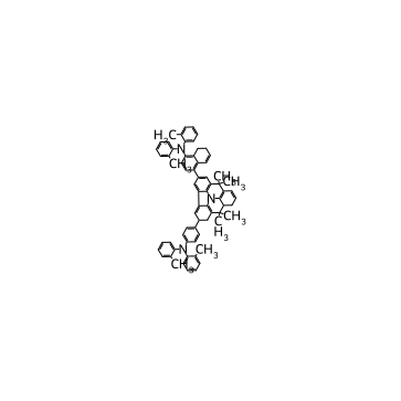 Cc1ccccc1N(c1ccc(C2C=c3c4n5c6c(cc(-c7ccc(N(c8ccccc8C)c8ccccc8C)c8c7C=CCC8)cc36)C(C)(C)C3=C5C(CC=C3)C(C)(C)C=4C2)cc1)c1ccccc1C